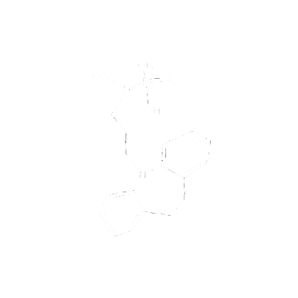 CN(CCCN1c2ccccc2CCc2ccccc21)P(=O)(O)O